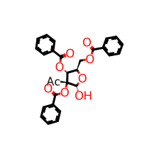 CC(=O)[C@@]1(OC(=O)c2ccccc2)[C@H](OC(=O)c2ccccc2)[C@@H](COC(=O)c2ccccc2)O[C@@H]1O